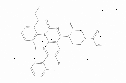 C=CC(=O)N1CCN(c2nc(=O)n(-c3c(F)cccc3CCC)c3nc(-c4ccccc4F)c(F)cc23)[C@@H](C)C1